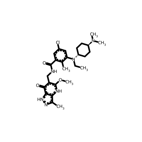 CCN(c1cc(Cl)cc(C(=O)NCc2c(OC)[nH]c3c(C)n[nH]c3c2=O)c1C)[C@H]1CC[C@H](N(C)C)CC1